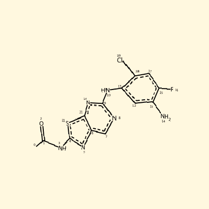 CC(=O)Nc1nc2cnc(Nc3cc(N)c(F)cc3Cl)nc2s1